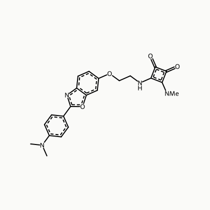 CNc1c(NCCOc2ccc3nc(-c4ccc(N(C)C)cc4)oc3c2)c(=O)c1=O